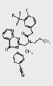 CCCN(C(=O)Cc1ccc(F)c(C(F)(F)F)c1)[C@H](C)c1nc2ncccc2c(=O)n1-c1ccc(C#N)cc1